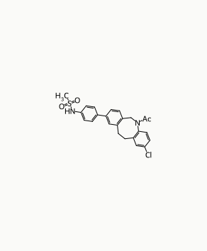 CC(=O)N1Cc2ccc(-c3ccc(NS(C)(=O)=O)cc3)cc2CCc2cc(Cl)ccc21